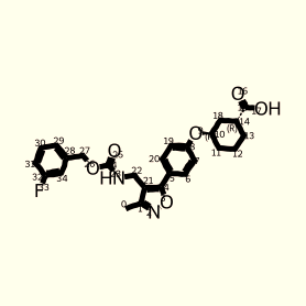 Cc1noc(-c2ccc(O[C@@H]3CCC[C@@H](C(=O)O)C3)cc2)c1CNC(=O)OCc1cccc(F)c1